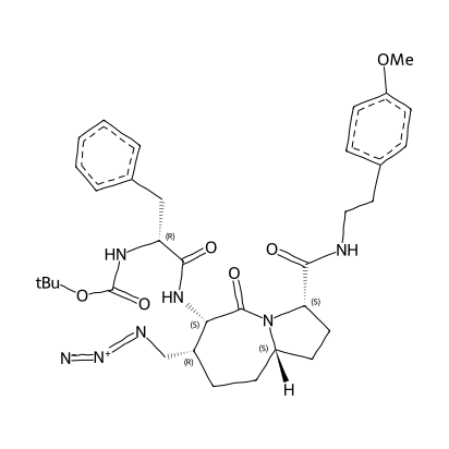 COc1ccc(CCNC(=O)[C@@H]2CC[C@@H]3CC[C@H](CN=[N+]=[N-])[C@H](NC(=O)[C@@H](Cc4ccccc4)NC(=O)OC(C)(C)C)C(=O)N32)cc1